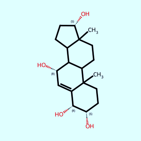 CC12CC[C@H](O)[C@H](O)C1=C[C@H](O)C1C2CCC2(C)C1CC[C@@H]2O